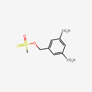 CS(=O)(=S)OCc1cc(C(=O)O)cc(C(=O)O)c1